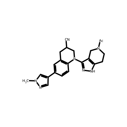 CC(=O)N1CCc2[nH]nc(N3CC(C#N)Cc4cc(-c5cnn(C)c5)ccc43)c2C1